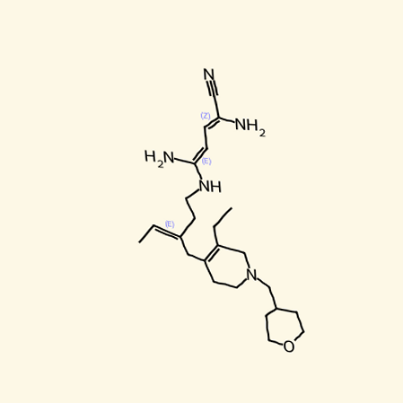 C/C=C(/CCN/C(N)=C/C=C(\N)C#N)CC1=C(CC)CN(CC2CCOCC2)CC1